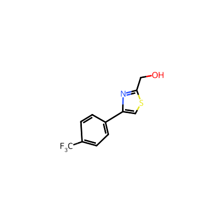 OCc1nc(-c2ccc(C(F)(F)F)cc2)cs1